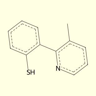 Cc1cccnc1-c1ccccc1S